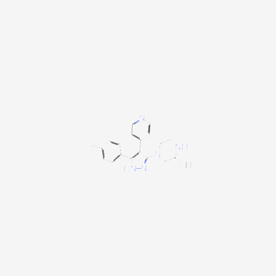 CC1CN(c2n[nH]c(-c3ccc(Cl)cc3)c2-c2ccncc2)CCN1